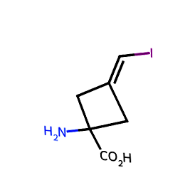 NC1(C(=O)O)CC(=CI)C1